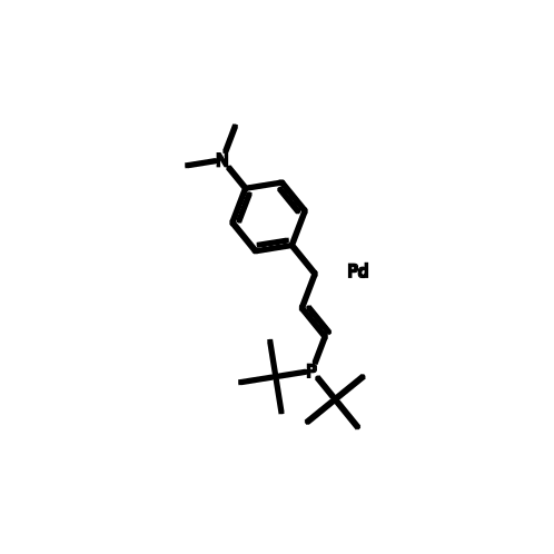 CN(C)c1ccc(CC=CP(C(C)(C)C)C(C)(C)C)cc1.[Pd]